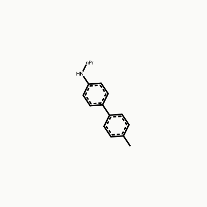 CCCNc1ccc(-c2ccc(C)cc2)cc1